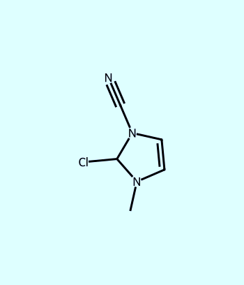 CN1C=CN(C#N)C1Cl